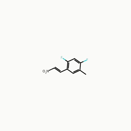 Cc1cc(C=C[N+](=O)[O-])c(F)cc1F